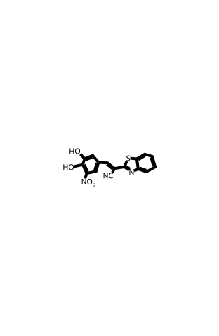 N#C/C(=C\c1cc(O)c(O)c([N+](=O)[O-])c1)c1nc2ccccc2s1